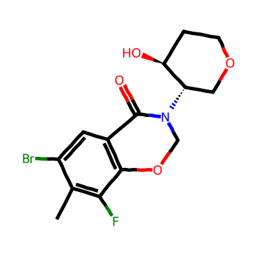 Cc1c(Br)cc2c(c1F)OCN([C@H]1COCC[C@@H]1O)C2=O